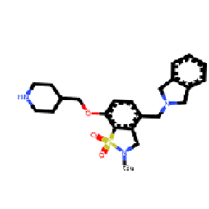 CC(C)(C)N1Cc2c(CN3Cc4ccccc4C3)ccc(OCC3CCNCC3)c2S1(=O)=O